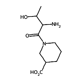 CC(O)C(N)C(=O)N1CCCC(C(=O)O)C1